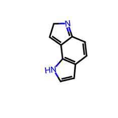 C1=c2c(ccc3cc[nH]c23)=NC1